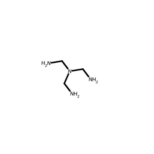 NCN(CN)CN